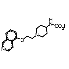 O=C(O)NC1CCN(CCOc2cccc3cnccc23)CC1